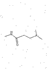 CNC(=O)CCP(C)C